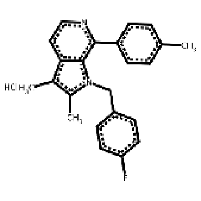 Cc1ccc(-c2nccc3c(C)c(C)n(Cc4ccc(F)cc4)c23)cc1.Cl